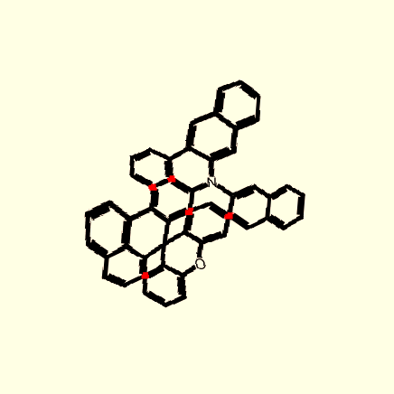 c1ccc(-c2cc3ccccc3cc2N(c2ccc3c(c2)C2(c4ccccc4Oc4ccccc42)c2cccc4cccc-3c24)c2ccc3ccccc3c2)cc1